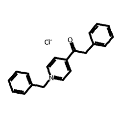 O=C(Cc1ccccc1)c1cc[n+](Cc2ccccc2)cc1.[Cl-]